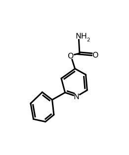 NC(=O)Oc1ccnc(-c2ccccc2)c1